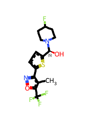 Cc1c(-c2ccc([C@H](O)N3CCC(F)CC3)s2)noc1C(F)(F)F